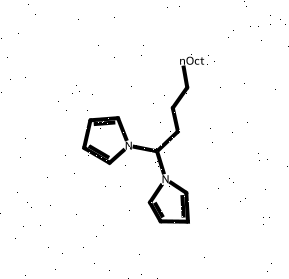 [CH2]CCCCCCCCCCC(n1cccc1)n1cccc1